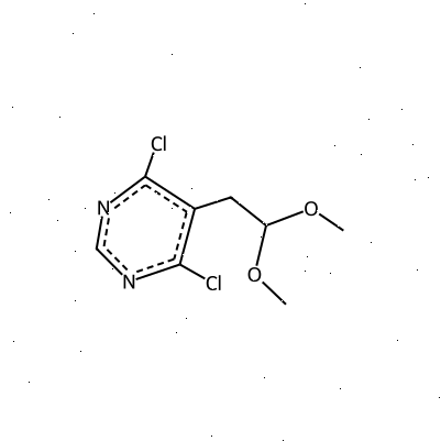 COC(Cc1c(Cl)ncnc1Cl)OC